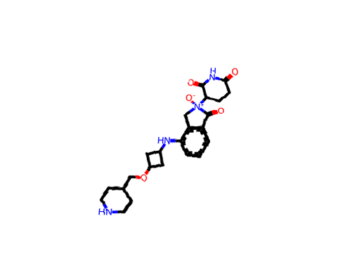 O=C1CCC([N+]2([O-])Cc3c(NC4CC(OCC5CCNCC5)C4)cccc3C2=O)C(=O)N1